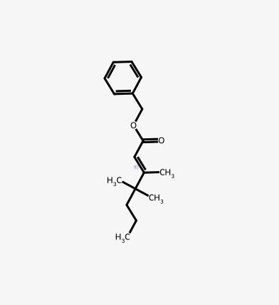 CCCC(C)(C)/C(C)=C/C(=O)OCc1ccccc1